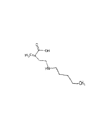 C=C(CCNCCCCC)C(=O)O